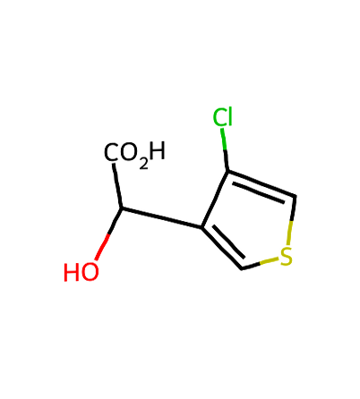 O=C(O)C(O)c1cscc1Cl